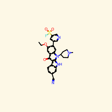 CCOc1cc2c(=O)c3c4ccc(C#N)cc4[nH]c3n(C3CCN(C)CC3)c2cc1-c1cncc(S(=O)(=O)F)c1